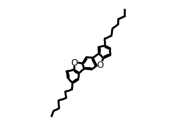 CCCCCCCc1ccc2oc3cc4c(cc3c2c1)oc1ccc(CCCCCCC)cc14